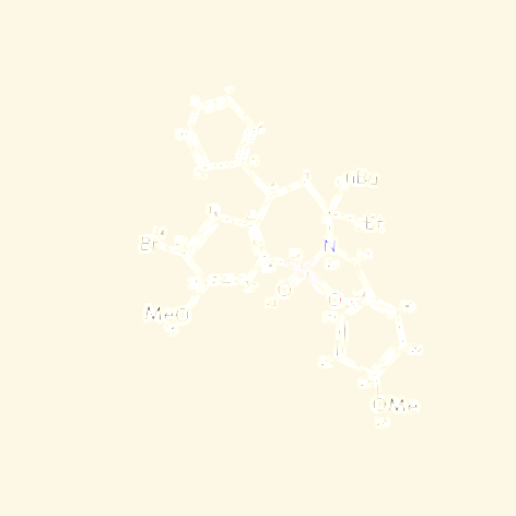 CCCCC1(CC)CC(c2ccccc2)c2cc(Br)c(OC)cc2S(=O)(=O)N1Cc1ccc(OC)cc1